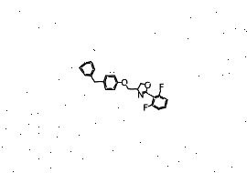 Fc1cccc(F)c1C1=NC(COc2ccc(Cc3ccccc3)cc2)CO1